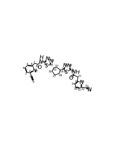 C#Cc1cccc(CC(=O)Nc2nnc([C@H]3CCC[C@H](c4nnc(NC(=O)Cc5cccc(C#N)n5)s4)C3)s2)n1